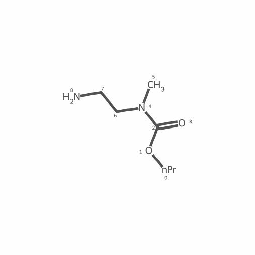 CCCOC(=O)N(C)CCN